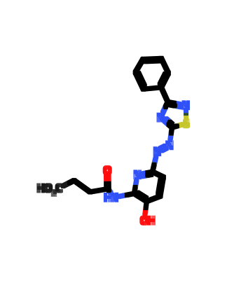 O=C(O)CCC(=O)Nc1nc(N=Nc2nc(-c3ccccc3)ns2)ccc1O